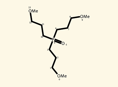 COCCCP(=O)(CCCOC)CCCOC